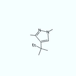 CCC(C)(C)c1cn(C)nc1C